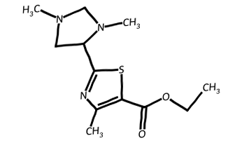 CCOC(=O)c1sc(C2CN(C)CN2C)nc1C